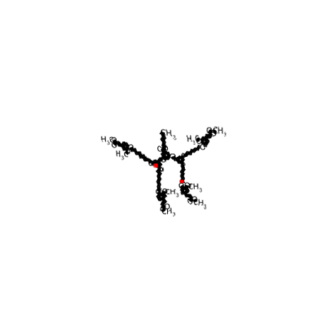 CCCCCCOC(=O)c1cc(OCc2cc(OCCCCCCCCOc3ccc(/C=C/C(=O)OC)cc3OC)cc(OCCCCCCCCOc3ccc(/C=C/C(=O)OC)cc3OC)c2)cc(OCc2cc(OCCCCCCCCOc3ccc(/C=C/C(=O)OC)cc3OC)cc(OCCCCCCCCOc3ccc(/C=C/C(=O)OC)cc3OC)c2)c1